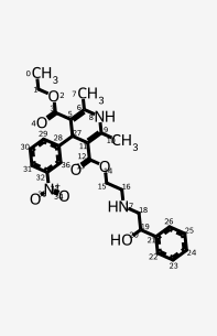 CCOC(=O)C1=C(C)NC(C)=C(C(=O)OCCNCC(O)c2ccccc2)C1c1cccc([N+](=O)[O-])c1